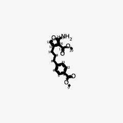 COC(=O)c1ccc(CCCc2coc(N)c2C(=O)OC)cc1